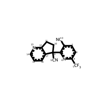 N#Cc1ccc(C(F)(F)F)nc1C1(C#N)CCc2ncccc21